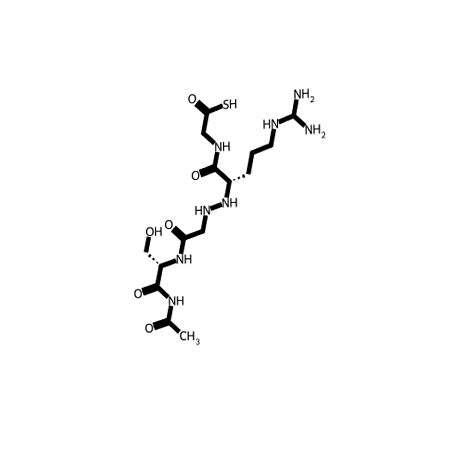 CC(=O)NC(=O)[C@H](CO)NC(=O)CNN[C@@H](CCCNC(N)N)C(=O)NCC(=O)S